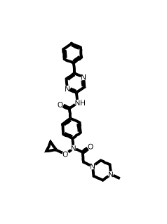 CN1CCN(CC(=O)N(OC2CC2)c2ccc(C(=O)Nc3cnc(-c4ccccc4)cn3)cc2)CC1